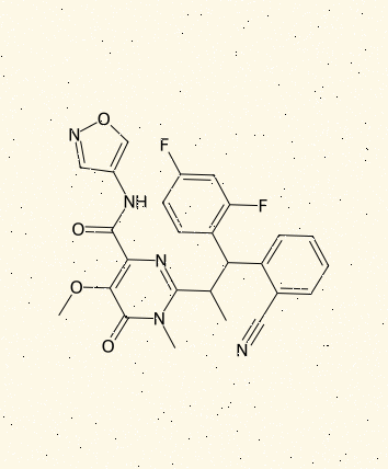 COc1c(C(=O)Nc2cnoc2)nc(C(C)C(c2ccc(F)cc2F)c2ccccc2C#N)n(C)c1=O